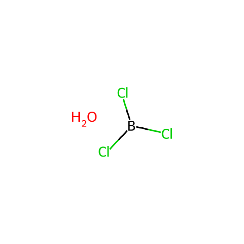 ClB(Cl)Cl.O